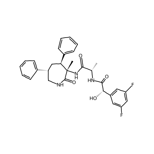 C[C@H](NC(=O)[C@@H](O)c1cc(F)cc(F)c1)C(=O)N[C@]1(C)C(=O)NC[C@H](c2ccccc2)C[C@H]1c1ccccc1